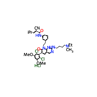 CCN(C)CCCCNc1ncc2cc(-c3c(Cl)c(OC)cc(OC)c3Cl)c(=O)n(CCc3cccc(NC(=O)C(C#N)=CC(C)C)c3)c2n1.Cl